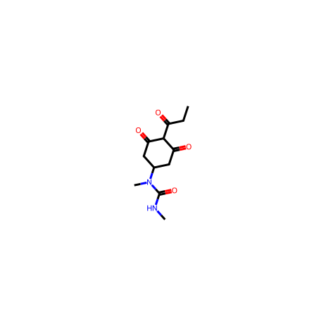 CCC(=O)C1C(=O)CC(N(C)C(=O)NC)CC1=O